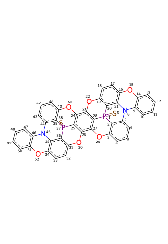 S=P12c3c4cccc3N3c5ccccc5Oc5ccc(c1c53)Oc1c3c5c(c(c12)O4)Oc1ccc2c4c1P5(=S)c1c(cccc1N4c1ccccc1O2)O3